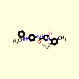 Cc1ccc(C)c(N2CC(C(=O)Nc3ccc(Nc4ccccc4C)cc3)CC2=O)c1